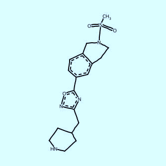 CS(=O)(=O)N1CCc2cc(-c3nc(CC4CCNCC4)no3)ccc2C1